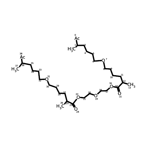 CC(=O)C(C)CCCCOCCCCC(C)C(=O)OCCOCCOC(=O)C(C)CCCCOCCCCC(C)C(C)=O